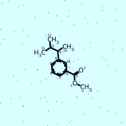 COC(=O)c1cccc(C(C)C(C)C)c1